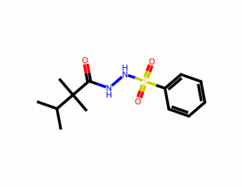 CC(C)C(C)(C)C(=O)NNS(=O)(=O)c1ccccc1